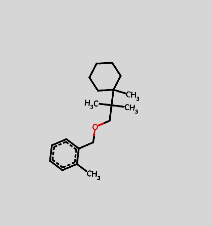 Cc1ccccc1COCC(C)(C)C1(C)CCCCC1